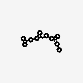 c1ccc(-c2ccc(-n3c4ccccc4c4cc(-c5cccc(CC6c7ccccc7-c7cc(-c8ccc(C9c%10ccccc%10-c%10ccccc%109)cc8)ccc76)c5)ccc43)cc2)cc1